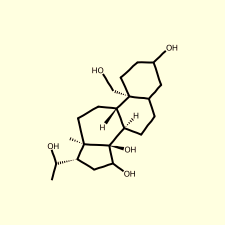 CC(O)[C@H]1CC(O)[C@@]2(O)[C@@H]3CCC4CC(O)CC[C@]4(CO)[C@H]3CC[C@]12C